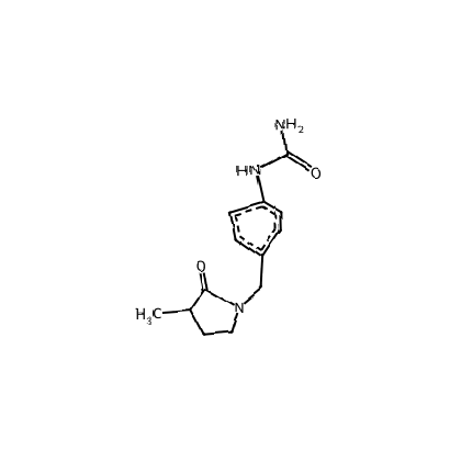 CC1CCN(Cc2ccc(NC(N)=O)cc2)C1=O